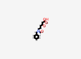 O=CN(CCCC(=O)CC(=O)O)Cc1ccccc1